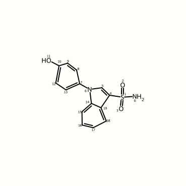 NS(=O)(=O)c1cn(-c2ccc(O)cc2)c2ccccc12